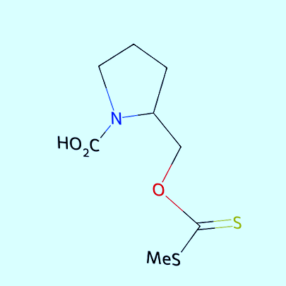 CSC(=S)OCC1CCCN1C(=O)O